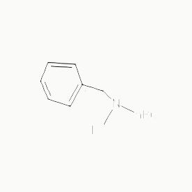 CCCCN(CC)Cc1ccccc1